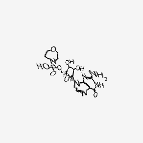 Nc1nc2c(ncn2[C@@H]2O[C@H](COP(=O)(O)N3CCOCC3)C(O)C2O)c(=O)[nH]1